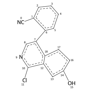 N#Cc1ccccc1-c1cnc(Cl)c2cc(O)ccc12